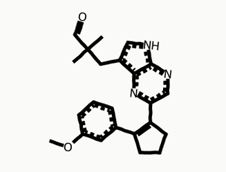 COc1cccc(C2=C(c3cnc4[nH]cc(CC(C)(C)C=O)c4n3)CCC2)c1